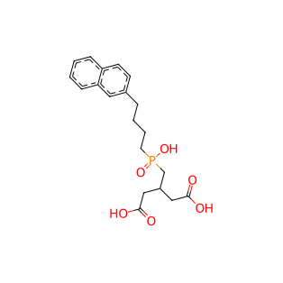 O=C(O)CC(CC(=O)O)CP(=O)(O)CCCCc1ccc2ccccc2c1